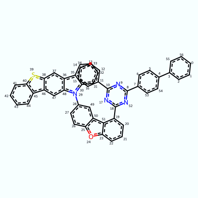 c1ccc(-c2ccc(-c3nc(-c4ccccc4)nc(-c4cccc5oc6ccc(-n7c8ccccc8c8cc9sc%10ccccc%10c9cc87)cc6c45)n3)cc2)cc1